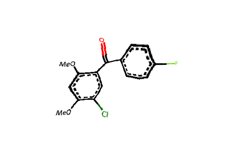 COc1cc(OC)c(C(=O)c2ccc(F)cc2)cc1Cl